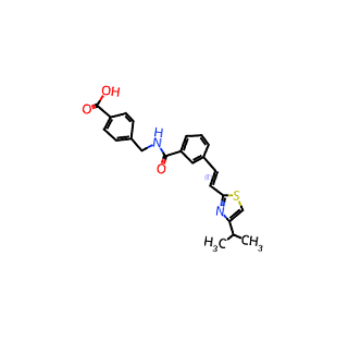 CC(C)c1csc(/C=C/c2cccc(C(=O)NCc3ccc(C(=O)O)cc3)c2)n1